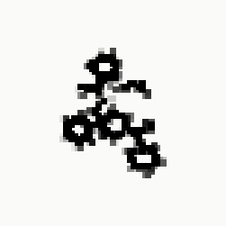 COc1ccccc1C(=O)NCC1(c2ccccc2)CCN(C(=O)N2CCOCC2)CC1